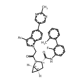 CC(=O)c1cn(CC(=O)N2[C@@H]3C[C@@H]3C[C@H]2C(=O)Nc2cccc(-c3ccccc3C)c2F)c2ccc(-c3cnc(C)nc3)cc12